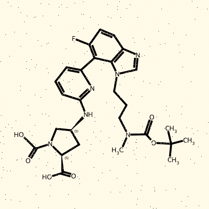 CN(CCCn1cnc2ccc(F)c(-c3cccc(N[C@H]4C[C@@H](C(=O)O)N(C(=O)O)C4)n3)c21)C(=O)OC(C)(C)C